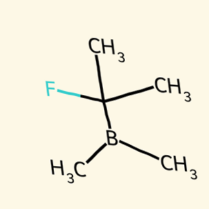 CB(C)C(C)(C)F